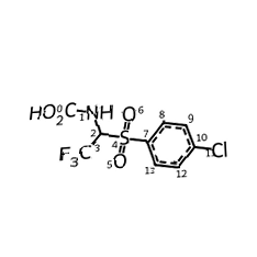 O=C(O)NC(C(F)(F)F)S(=O)(=O)c1ccc(Cl)cc1